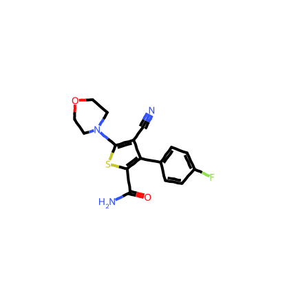 N#Cc1c(N2CCOCC2)sc(C(N)=O)c1-c1ccc(F)cc1